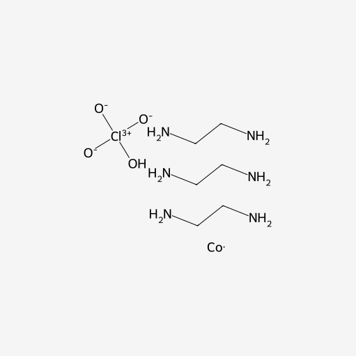 NCCN.NCCN.NCCN.[Co].[O-][Cl+3]([O-])([O-])O